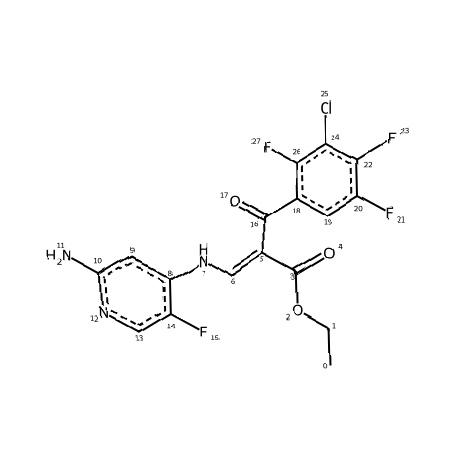 CCOC(=O)/C(=C/Nc1cc(N)ncc1F)C(=O)c1cc(F)c(F)c(Cl)c1F